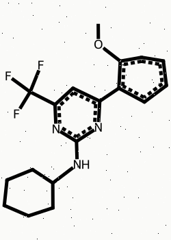 COc1ccccc1-c1cc(C(F)(F)F)nc(NC2CCCCC2)n1